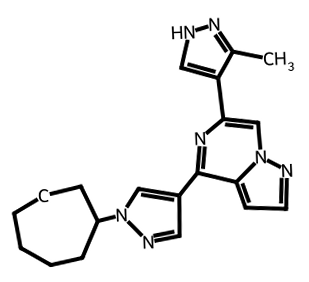 Cc1n[nH]cc1-c1cn2nccc2c(-c2cnn(C3CCCCCC3)c2)n1